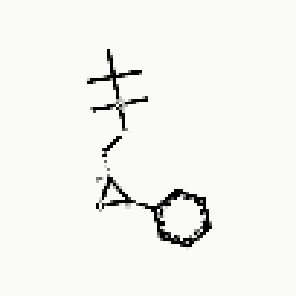 CC(C)(C)[Si](C)(C)OC[C@H]1O[C@@H]1c1ccccc1